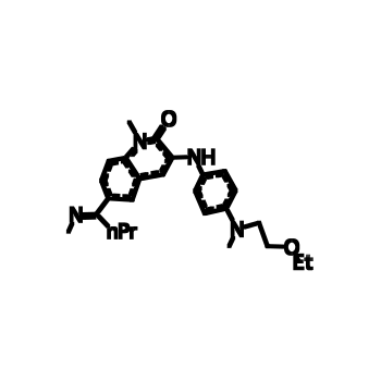 CCC/C(=N\C)c1ccc2c(c1)cc(Nc1ccc(N(C)CCOCC)cc1)c(=O)n2C